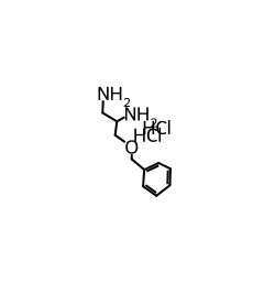 Cl.Cl.NCC(N)COCc1ccccc1